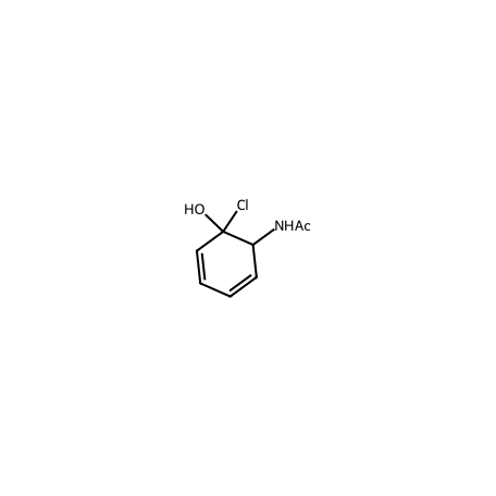 CC(=O)NC1C=CC=CC1(O)Cl